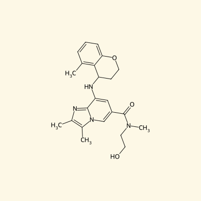 Cc1cccc2c1C(Nc1cc(C(=O)N(C)CCO)cn3c(C)c(C)nc13)CCO2